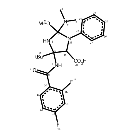 COC1(N(C)C)NC(NC(=O)c2ccc(F)cc2F)(C(C)(C)C)C(C(=O)O)N1c1ccccc1